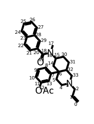 C=CCN1CCC2(c3cccc(OC(C)=O)c3)CC(N(C)C(=O)c3ccc4ccccc4c3)CCC2C1